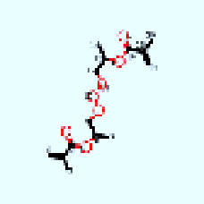 C=C(C)C(=O)OC(C)COOOCC(C)OC(=O)C(=C)C